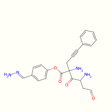 NN=Cc1ccc(OC(=O)C(N)(CC#Cc2ccccc2)C(=O)C(N)CC=O)cc1